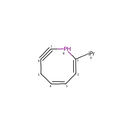 CC(C)/C1=C/C=C\CC#CP1